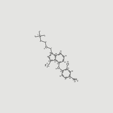 C[Si](C)(C)CCOCn1cc(C(F)(F)F)c2c(Oc3ccc(N)cc3Cl)ccnc21